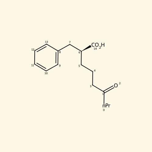 CCCC(=O)CCC[C@@H](Cc1ccccc1)C(=O)O